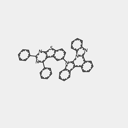 c1ccc(-c2nc(-c3ccccc3)c3c(n2)sc2ccc(-n4c5ccccc5c5c6ccccc6c6nc7ccccc7n6c54)cc23)cc1